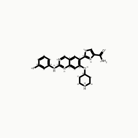 NC(=O)c1csc(-c2cc3cnc(Nc4cccc(F)c4)nc3cc2OC2CCNCC2)n1